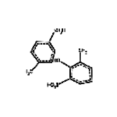 Cc1ccc(S(=O)(=O)O)cc1.Cc1cccc(S(=O)(=O)O)c1O